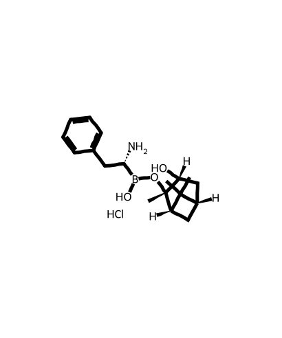 CC1(C)[C@@H]2C[C@@H](O)[C@@](C)(OB(O)[C@@H](N)Cc3ccccc3)[C@H]1C2.Cl